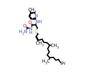 CC(=CCSCC(Nc1ccc(C)cn1)C(=O)NC(N)=O)CCCC(C)CCCC(C)CCCC(C)C